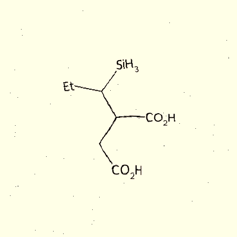 CCC([SiH3])C(CC(=O)O)C(=O)O